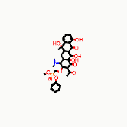 COP(=O)(COC1=C(C(C)=O)C(=O)C2(O)C(O)=C3C(=O)c4c(O)cccc4C(C)(O)C3CC2C1N(C)C)Oc1ccccc1